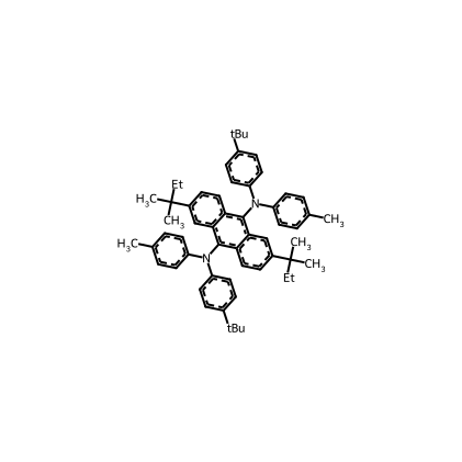 CCC(C)(C)c1ccc2c(N(c3ccc(C)cc3)c3ccc(C(C)(C)C)cc3)c3cc(C(C)(C)CC)ccc3c(N(c3ccc(C)cc3)c3ccc(C(C)(C)C)cc3)c2c1